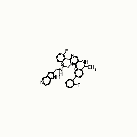 CC(Nc1cnc(-c2ccccc2F)n(CC(=O)NCc2cc3cnccc3[nH]2)c1=O)c1ccc(-c2ccccc2F)cc1